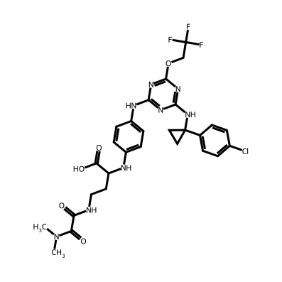 CN(C)C(=O)C(=O)NCCC(Nc1ccc(Nc2nc(NC3(c4ccc(Cl)cc4)CC3)nc(OCC(F)(F)F)n2)cc1)C(=O)O